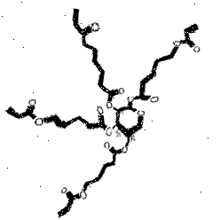 C=CC(=O)CCCCCC(=O)O[C@H]1C(OC(=O)CCCCOC(=O)C=C)OC[C@@H](OC(=O)CCCCOC(=O)C=C)[C@@H]1OC(=O)CCCCOC(=O)C=C